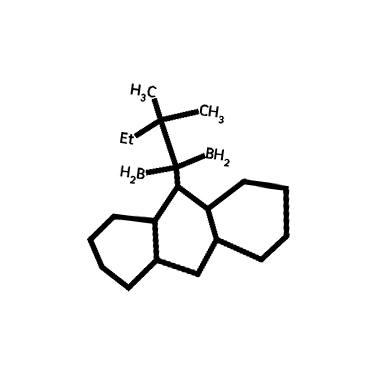 BC(B)(C1C2CCCCC2CC2CCCCC21)C(C)(C)CC